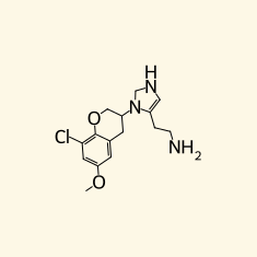 COc1cc(Cl)c2c(c1)CC(N1CNC=C1CCN)CO2